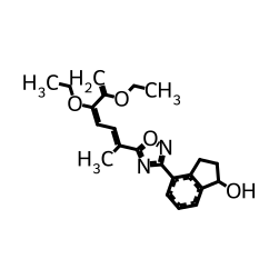 C=C(OCC)/C(=C\C=C(/C)c1nc(-c2cccc3c2CCC3O)no1)OCC